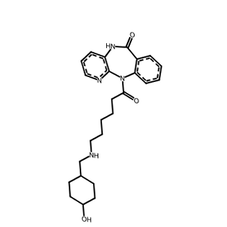 O=C1Nc2cccnc2N(C(=O)CCCCCNCC2CCC(O)CC2)c2ccccc21